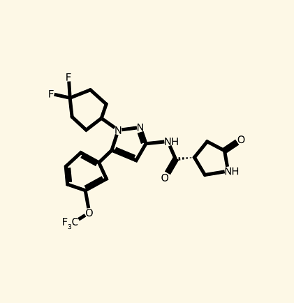 O=C1C[C@@H](C(=O)Nc2cc(-c3cccc(OC(F)(F)F)c3)n(C3CCC(F)(F)CC3)n2)CN1